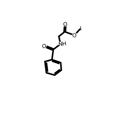 O=C(CNC(=O)c1ccccc1)OI